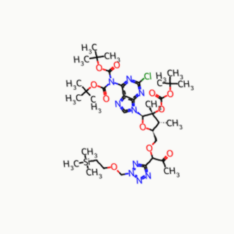 CC(=O)C(OC[C@H]1O[C@@H](n2cnc3c(N(C(=O)OC(C)(C)C)C(=O)OC(C)(C)C)nc(Cl)nc32)[C@](C)(OC(=O)OC(C)(C)C)[C@@H]1C)c1nnn(COCC[Si](C)(C)C)n1